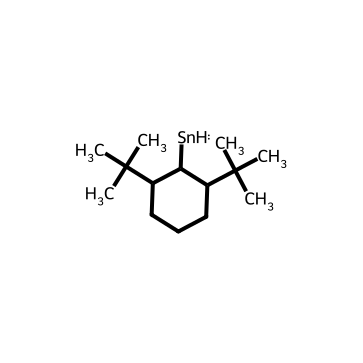 CC(C)(C)C1CCCC(C(C)(C)C)[CH]1[SnH]